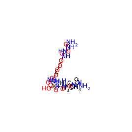 CCc1nc2c(N)nc3ccccc3c2n1CC(C)(C)OCCNC(=O)CCNC(=O)C(CC(=O)O)SCC(NC(=O)CCOCCOCCOCCOCCNC(=O)CNC(=O)CNC(=O)CN)C(N)=O